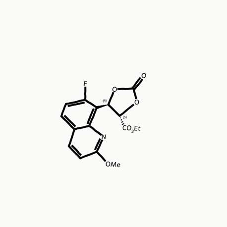 CCOC(=O)[C@H]1OC(=O)O[C@@H]1c1c(F)ccc2ccc(OC)nc12